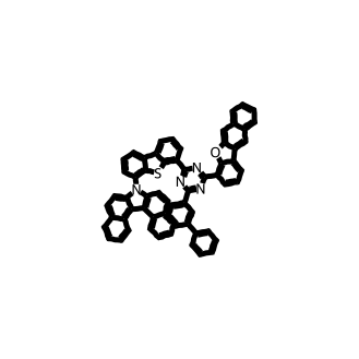 c1ccc(-c2cccc(-c3nc(-c4cccc5c4oc4cc6ccccc6cc45)nc(-c4cccc5c4sc4c(-n6c7ccc8ccccc8c7c7c8ccccc8ccc76)cccc45)n3)c2)cc1